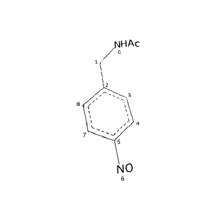 CC(=O)NCc1ccc(N=O)cc1